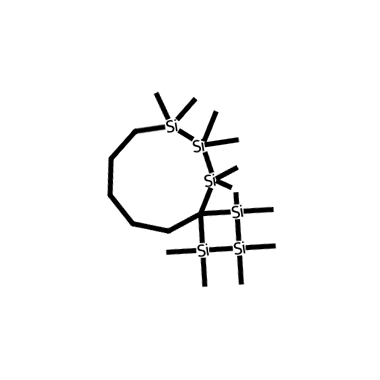 C[Si]1(C)CCCCCC2([Si](C)(C)[Si]1(C)C)[Si](C)(C)[Si](C)(C)[Si]2(C)C